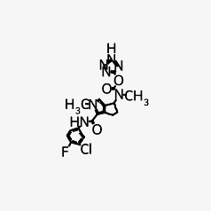 CN(C(=O)Oc1nn[nH]n1)C1CCc2c1cn(C)c2C(=O)Nc1ccc(F)c(Cl)c1